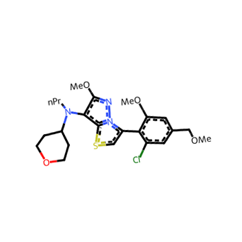 CCCN(c1c(OC)nn2c(-c3c(Cl)cc(COC)cc3OC)csc12)C1CCOCC1